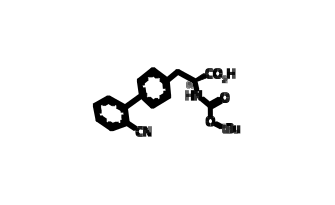 CC(C)(C)OC(=O)N[C@@H](Cc1ccc(-c2ccccc2C#N)cc1)C(=O)O